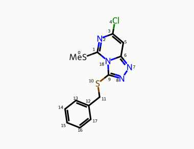 CSc1nc(Cl)cc2nnc(SCc3ccccc3)n12